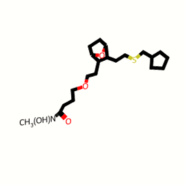 CN(O)C(=O)CCCOCCC1C2CCC(O2)C1CCSCC1CCCC1